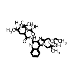 CCOCc1nc2c(NC(=O)C(CC(C)C)N(C(=O)O)C(C)(C)C)nc3ccccc3c2n1CC(C)(C)O